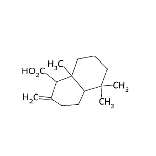 C=C1CCC2C(C)(C)CCCC2(C)C1C(=O)O